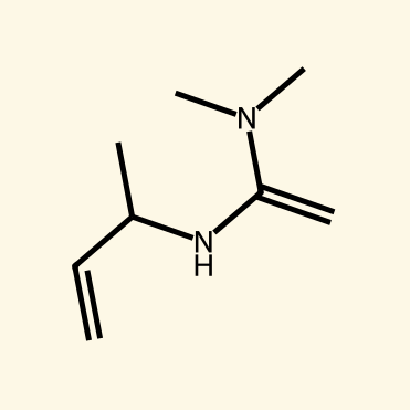 C=CC(C)NC(=C)N(C)C